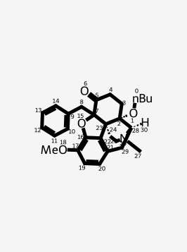 CCCCO[C@@]12CCC(=O)C3(Cc4ccccc4)Oc4c(OC)ccc5c4[C@@]31CCN(C)[C@@H]2C5